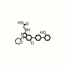 O=C(O)CNc1nn(C2CCCCO2)c2cc(Cl)c(-c3ccc(-c4ccccc4O)cc3)cc12